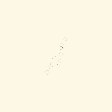 c1ccc(-c2ccc3nc(-c4ccc(-c5cccc6c5-c5ccccc5C6(c5ccccc5)c5ccc6nc(-c7ccccc7)oc6c5)cc4)nn3c2)cc1